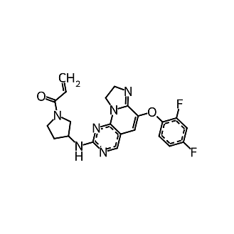 C=CC(=O)N1CCC(Nc2ncc3c(n2)N2CCN=C2C(Oc2ccc(F)cc2F)=C3)C1